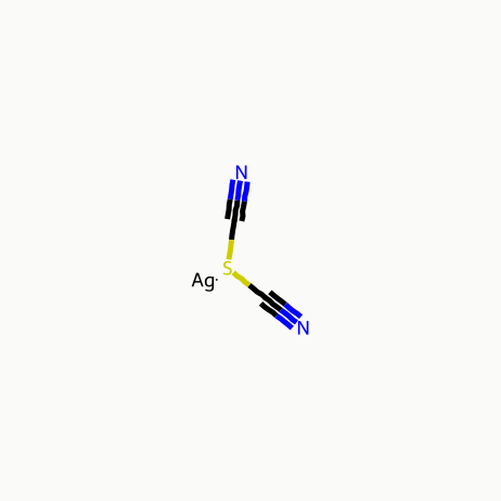 N#CSC#N.[Ag]